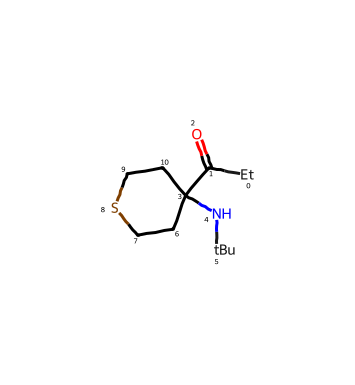 CCC(=O)C1(NC(C)(C)C)CCSCC1